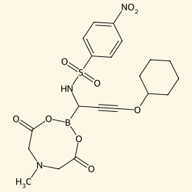 CN1CC(=O)OB(C(C#COC2CCCCC2)NS(=O)(=O)c2ccc([N+](=O)[O-])cc2)OC(=O)C1